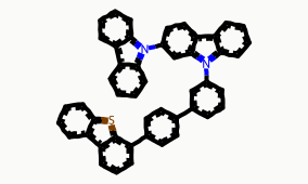 c1cc(-c2ccc(-c3cccc4c3sc3ccccc34)cc2)cc(-n2c3ccccc3c3ccc(-n4c5ccccc5c5ccccc54)cc32)c1